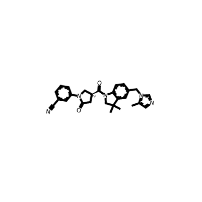 Cc1cncn1Cc1ccc2c(c1)C(C)(C)CN2C(=O)[C@H]1CC(=O)N(c2cccc(C#N)c2)C1